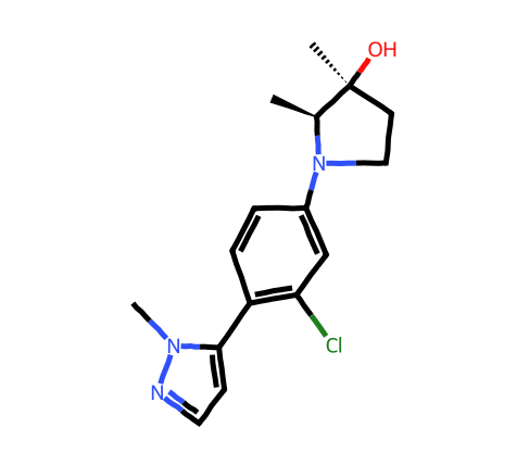 C[C@@H]1N(c2ccc(-c3ccnn3C)c(Cl)c2)CC[C@]1(C)O